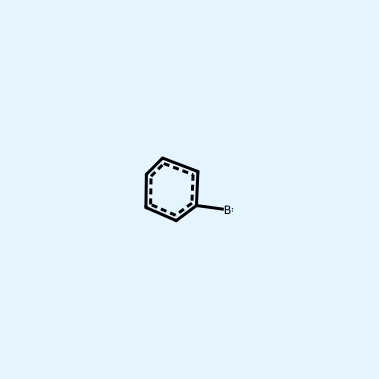 [B]c1ccccc1